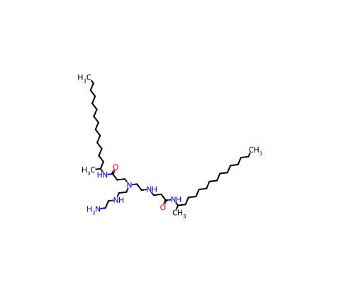 CCCCCCCCCCCCCCC(C)NC(=O)CCNCCN(CCNCCN)CCC(=O)NC(C)CCCCCCCCCCCCCC